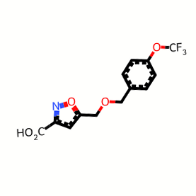 O=C(O)c1cc(COCc2ccc(OC(F)(F)F)cc2)on1